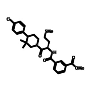 COC(=O)c1cccc(C(=O)N[C@H](CCSC)C(=O)N2CCC(c3ccc(Cl)cc3)C(C)(C)C2)c1